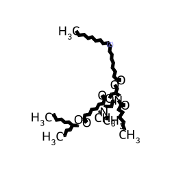 CCCCCCCC/C=C\CCCCCCCC(=O)OCC(COC(=O)CCCCCCC(=O)OCC(CCCC)CCCCCC)CN(CCCN(CC)CC)C(=O)CCCCCCC